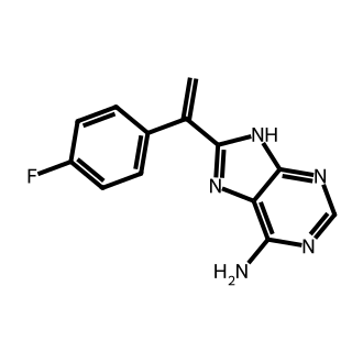 C=C(c1ccc(F)cc1)c1nc2c(N)ncnc2[nH]1